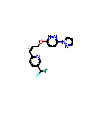 FC(F)c1ccc(/C=C\COc2ccc(-n3cccn3)nn2)nc1